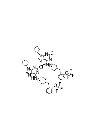 FC(F)(F)Oc1ccccc1CC1CCN(Nc2nc(Cl)nc3c2ncn3C2CCCC2)CC1.FC(F)(F)Oc1ccccc1CC1CCN(Nc2nc(Cl)nc3c2ncn3C2CCCC2)CC1